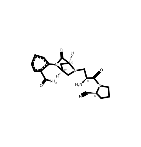 N#C[C@@H]1CCCN1C(=O)[C@@H](N)CN1C[C@@H]2C[C@H]1C(=O)N2c1ccccc1C(N)=O